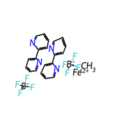 F[B-](F)(F)F.F[B-](F)(F)F.[CH3][Fe+2].c1ccc(-c2ccccn2)nc1.c1ccc(-c2ccccn2)nc1